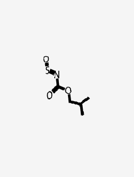 CC(C)COC(=O)N=S=O